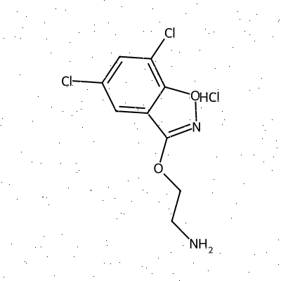 Cl.NCCOc1noc2c(Cl)cc(Cl)cc12